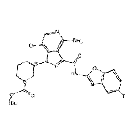 CC(C)(C)OC(=O)N1CCC[C@@H](n2nc(C(=O)Nc3nc4cc(F)ccc4o3)c3c(N)ncc(Cl)c32)C1